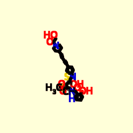 C[C@](CNC(=O)c1ccccc1O)(C[C@@H](O)c1nc2ccc(C#CC#CC3CCN(C(=O)CO)CC3)cc2s1)S(C)(=O)=O